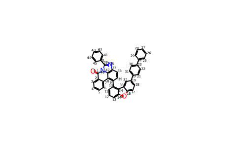 O=c1c2ccccc2c2c(-c3cccc4oc5ccc(-c6ccc(-c7ccccc7)cc6)cc5c34)ccc3nc(-c4ccccc4)n1c32